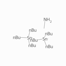 CCC[CH2][Sn]([CH2]CCC)[CH2]CCC.CCC[CH2][Sn]([CH2]CCC)[CH2]CCC.CN